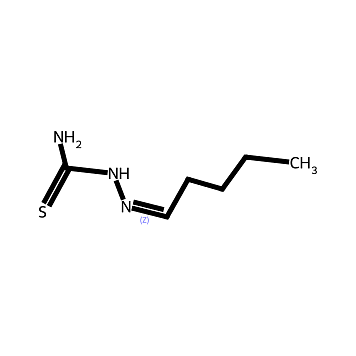 CCCC/C=N\NC(N)=S